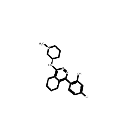 CN1CCC[C@@H](Nc2nnc(-c3ccc(Cl)cc3O)c3c2CCCC3)C1